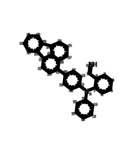 N=Cc1ccccc1N(c1ccccc1)c1ccc(-c2ccc3c4c(cccc24)-c2ccccc2-3)cc1